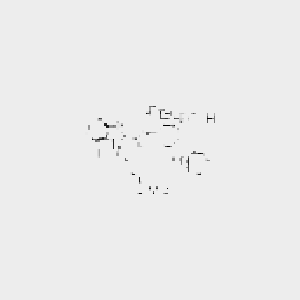 COCCCCn1c(C(=O)N(CC(C)C)[C@H]2C[C@@H](C(=O)N3CCOCC3)CN(C(=O)O)C2C(C)(C)C)nc2cccc(Cl)c21